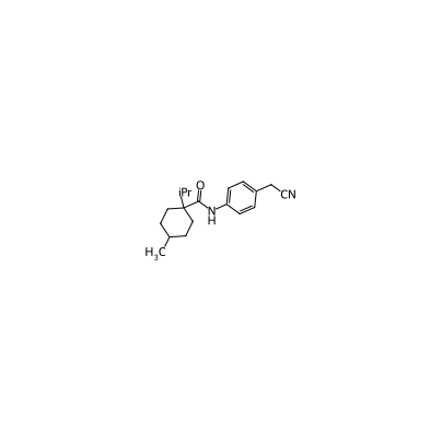 CC1CCC(C(=O)Nc2ccc(CC#N)cc2)(C(C)C)CC1